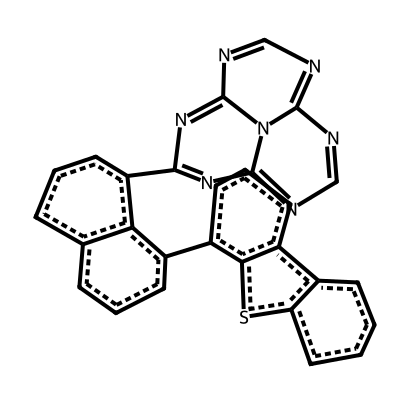 C1=NC2=NC=NC3=NC(c4cccc5cccc(-c6cccc7c6sc6ccccc67)c45)=NC(=N1)N23